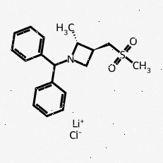 C[C@@H]1[C@@H](CS(C)(=O)=O)CN1C(c1ccccc1)c1ccccc1.[Cl-].[Li+]